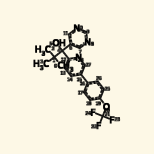 CC(C)(C)C(O)(c1cncnc1)c1ccc(-c2ccc(OC(F)(F)F)cc2)cn1